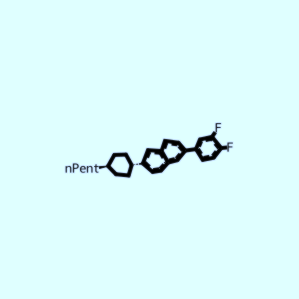 CCCCC[C@H]1CC[C@H](c2ccc3cc(-c4ccc(F)c(F)c4)ccc3c2)CC1